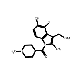 Cc1c(CC(=O)O)c2c(F)c(O)ccc2n1C(=O)C1CCN(C)CC1